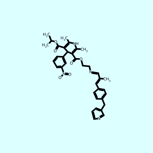 CC(C=NCCOC(=O)C1=C(C)NC(C)=C(C(=O)OC(C)C)C1c1cccc([N+](=O)[O-])c1)=Cc1ccc(Cc2cccnc2)cc1